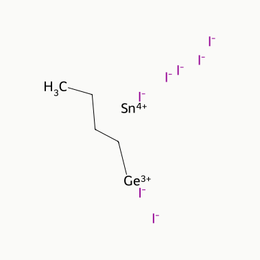 CCC[CH2][Ge+3].[I-].[I-].[I-].[I-].[I-].[I-].[I-].[Sn+4]